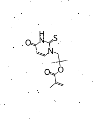 C=C(C)C(=O)OC(C)(C)Cn1ccc(=O)[nH]c1=S